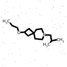 CCCOC1CC2(CCN(CC(C)C)CC2)C1